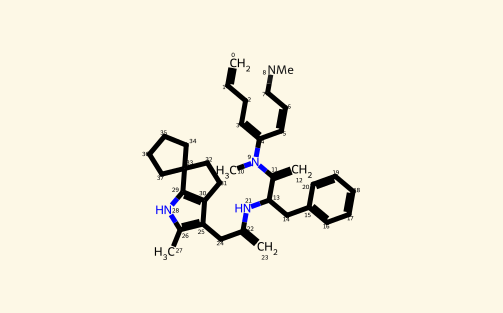 C=CC/C=C(\C=C/CNC)N(C)C(=C)C(Cc1ccccc1)NC(=C)Cc1c(C)[nH]c2c1CCC21CCCC1